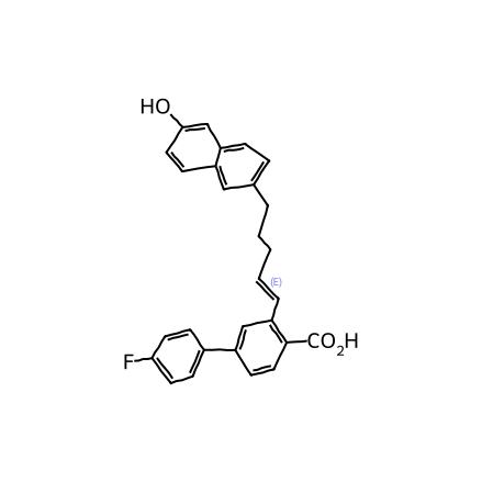 O=C(O)c1ccc(-c2ccc(F)cc2)cc1/C=C/CCCc1ccc2cc(O)ccc2c1